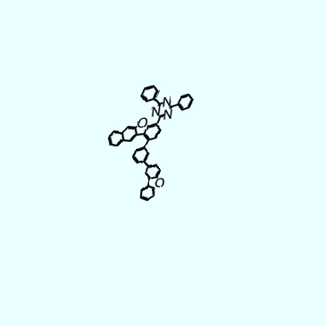 c1ccc(-c2nc(-c3ccccc3)nc(-c3ccc(-c4cccc(-c5ccc6oc7ccccc7c6c5)c4)c4c3oc3cc5ccccc5cc34)n2)cc1